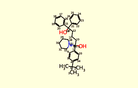 CC(C)(C)c1ccc([C@@](O)(CCCC(O)(c2ccccc2)c2ccccc2)N2CCCCC2)cc1